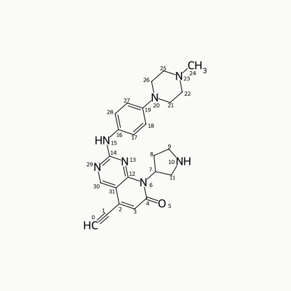 C#Cc1cc(=O)n(C2CCNC2)c2nc(Nc3ccc(N4CCN(C)CC4)cc3)ncc12